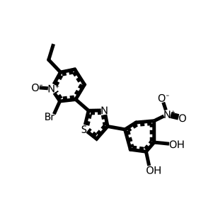 CCc1ccc(-c2nc(-c3cc(O)c(O)c([N+](=O)[O-])c3)cs2)c(Br)[n+]1[O-]